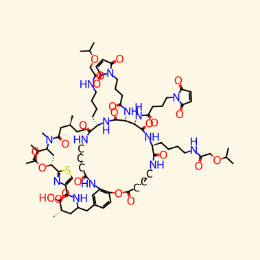 CC[C@H](C)CC(=O)N(C)C(C[C@@H](OC(C)=O)c1nc(C(=O)NC(Cc2ccc3c(c2)NC(=O)CCCNC(=O)[C@H](CCCCNC(=O)COC(C)C)NC(=O)[C@H](NC(=O)CCCN2C(=O)C=CC2=O)[C@H](NC(=O)CCCN2C(=O)C=CC2=O)C(=O)N[C@@H](CCCCNC(=O)COC(C)C)C(=O)NCCCC(=O)O3)C[C@H](C)C(=O)O)cs1)C(C)C